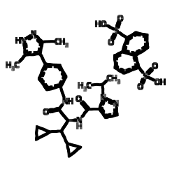 Cc1n[nH]c(C)c1-c1ccc(NC(=O)[C@@H](NC(=O)c2ccnn2C(C)C)C(C2CC2)C2CC2)cc1.O=S(=O)(O)c1cccc2c(S(=O)(=O)O)cccc12